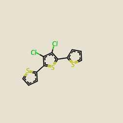 Clc1c(-c2cccs2)sc(-c2cccs2)c1Cl